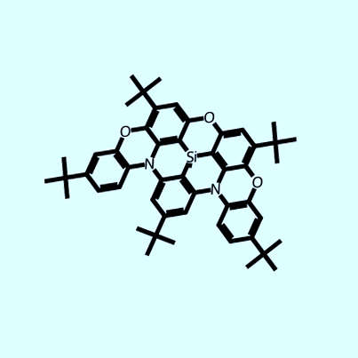 CC(C)(C)c1ccc2c(c1)Oc1c(C(C)(C)C)cc3c4c1N2c1cc(C(C)(C)C)cc2c1[Si]4(C)c1c(cc(C(C)(C)C)c4c1N2c1ccc(C(C)(C)C)cc1O4)O3